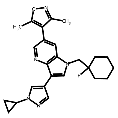 Cc1noc(C)c1-c1cnc2c(-c3cnn(C4CC4)c3)cn(CC3(F)CCCCC3)c2c1